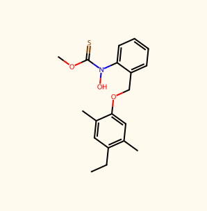 CCc1cc(C)c(OCc2ccccc2N(O)C(=S)OC)cc1C